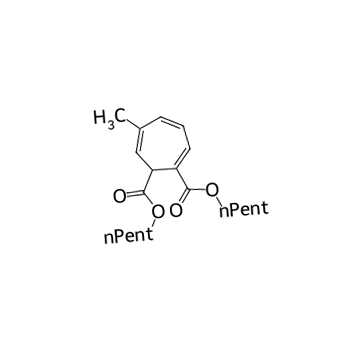 CCCCCOC(=O)C1=CC=CC(C)=CC1C(=O)OCCCCC